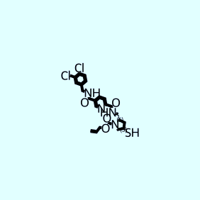 C=CCOC(=O)N1C[C@@H](S)C[C@H]1CNC(=O)c1ccc(C(=O)NCc2ccc(Cl)c(Cl)c2)cn1